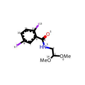 COC(CNC(=O)c1cc(I)ccc1I)OC